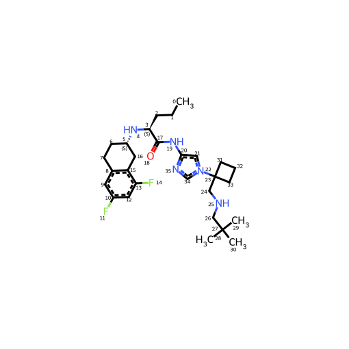 CCC[C@H](N[C@H]1CCc2cc(F)cc(F)c2C1)C(=O)Nc1cn(C2(CNCC(C)(C)C)CCC2)cn1